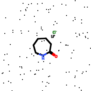 O=C1CCCCCN1.[Cl-].[Li+]